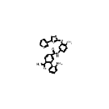 Cc1ccc(NC(=O)c2ccc(C(N)=O)c(-c3ccccc3N)c2)cc1Nc1nc(-c2cccnc2)cs1